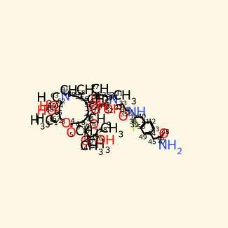 CC[C@H]1OC(=O)[C@H](C)C([C@H]2C[C@@](C)(OC)[C@@H](O)[C@H](C)O2)[C@H](C)[C@@H](O[C@@H]2O[C@H](C)C[C@H](N(C)CCC(=O)N[C@H](CF)Cc3ccc(CC(N)=O)cc3)[C@H]2O)[C@](C)(O)C[C@@H](C)CN(C)[C@H](C)[C@@H](O)[C@]1(C)O